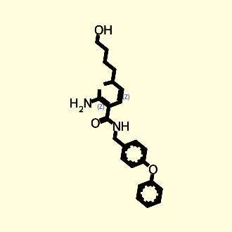 C/C(N)=C(\C=C/C(C)CCCCO)C(=O)NCc1ccc(Oc2ccccc2)cc1